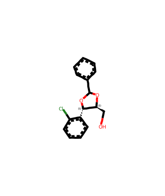 OC[C@@H]1OC(c2ccccc2)O[C@H]1c1ccccc1Cl